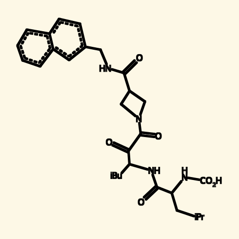 CCC(C)C(NC(=O)C(CC(C)C)NC(=O)O)C(=O)C(=O)N1CC(C(=O)NCc2ccc3ccccc3c2)C1